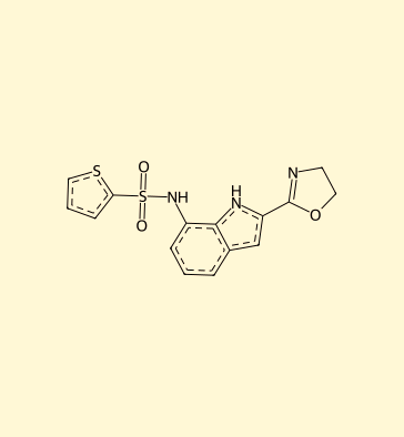 O=S(=O)(Nc1cccc2cc(C3=NCCO3)[nH]c12)c1cccs1